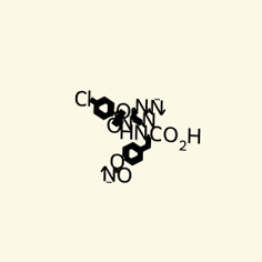 CN(C)C(=O)Oc1ccc(CC(Nc2nc(N(C)C)ncc2N(C)S(=O)(=O)c2ccc(Cl)cc2)C(=O)O)cc1